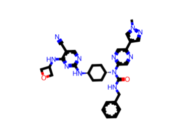 Cn1cc(-c2cnc(N(C(=O)NCc3ccccc3)[C@H]3CC[C@H](Nc4ncc(C#N)c(NC5COC5)n4)CC3)cn2)cn1